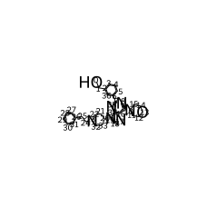 OCc1cccc(-c2nc(N3CCOCC3)c3ncn(C4CCN(CCc5ccccc5)CC4)c3n2)c1